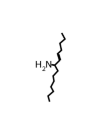 CCCCC=CC(N)CCCCCCC